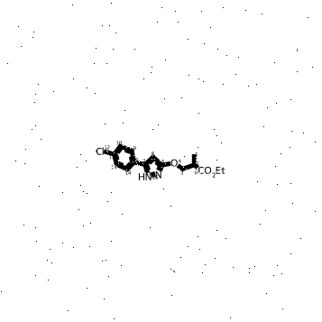 CCOC(=O)C(C)COc1cc(-c2ccc(Cl)cc2)[nH]n1